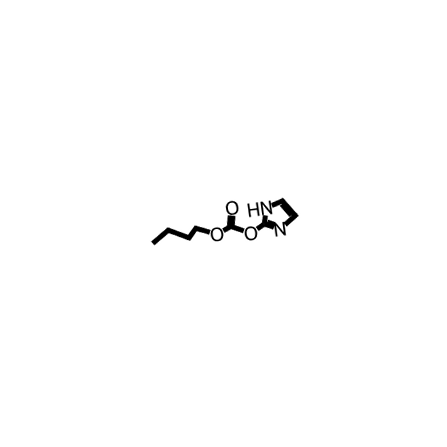 CCCCOC(=O)Oc1ncc[nH]1